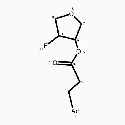 CC(=O)CCC(=O)OC1COCC1F